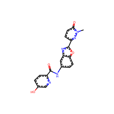 Cn1nc(-c2nc3cc(NC(=O)c4ccc(O)cn4)ccc3o2)ccc1=O